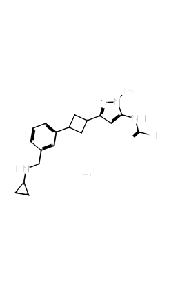 CC(C)(C)n1nc(C2CC(c3cccc(CNC4CC4)c3)C2)cc1NC(=O)C(F)(F)F.Cl